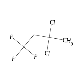 CC(Cl)(Cl)CC(F)(F)F